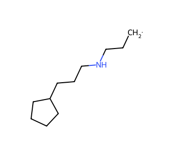 [CH2]CCNCCCC1CCCC1